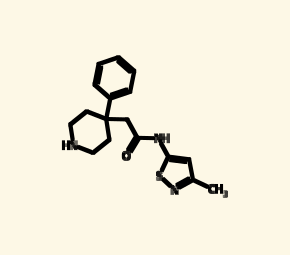 Cc1cc(NC(=O)CC2(c3ccccc3)CCNCC2)sn1